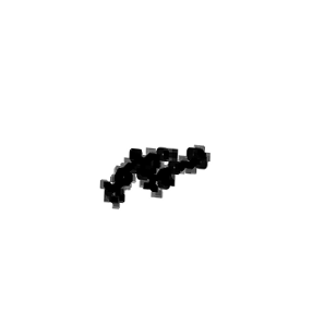 Cc1ncsc1-c1ccc(CNC(=O)C2CC(O)CN2C(=O)C(c2cc(OCCCC3OCCO3)no2)C(C)C)cc1